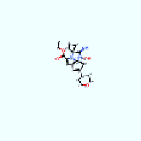 CCOC(=O)c1cc2cc(C3CCOCC3)ccc2n1C1(C(=N)NO)CCC1